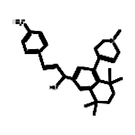 CN1CC=C(c2cc(C(O)C=Cc3ccc(C(=O)O)cc3)cc3c2C(C)(C)CCC3(C)C)CC1